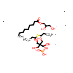 CCCCCCCCCCCCCCCCCC(=O)OCC(O)CO.O=C(O)CCSCCC(=O)O.OCC(CO)(CO)CO.OP(O)O